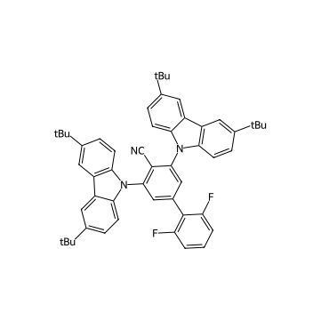 CC(C)(C)c1ccc2c(c1)c1cc(C(C)(C)C)ccc1n2-c1cc(-c2c(F)cccc2F)cc(-n2c3ccc(C(C)(C)C)cc3c3cc(C(C)(C)C)ccc32)c1C#N